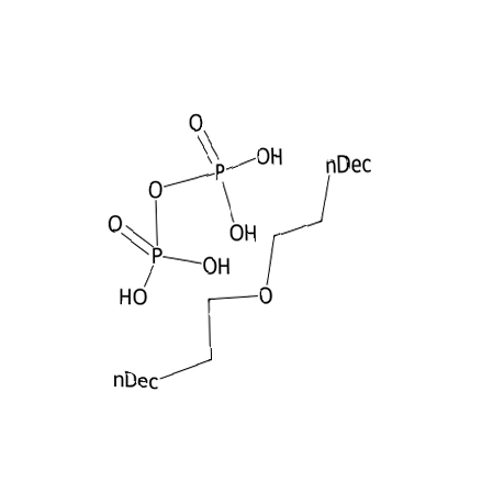 CCCCCCCCCCCCOCCCCCCCCCCCC.O=P(O)(O)OP(=O)(O)O